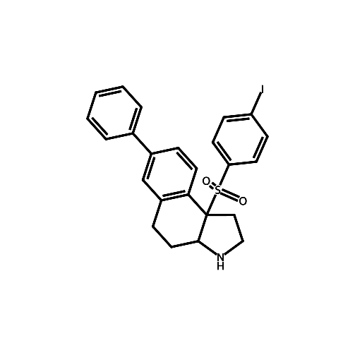 O=S(=O)(c1ccc(I)cc1)C12CCNC1CCc1cc(-c3ccccc3)ccc12